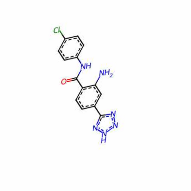 Nc1cc(-c2nn[nH]n2)ccc1C(=O)Nc1ccc(Cl)cc1